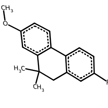 COc1ccc2c(c1)C(C)(C)Cc1cc(F)ccc1-2